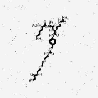 CC(=O)N[C@@H](CCCCN)C(=O)N[C@H](C(=O)N[C@@H](CCCNC(N)=O)C(=O)Nc1ccc(COC(=O)NCCOCCOCCNC(=O)CC(C)C)cc1)C(C)C